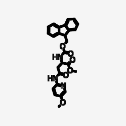 COC(=O)C(CC(=O)Nc1ccc(OC)cn1)NC(=O)OCC1c2ccccc2-c2ccccc21